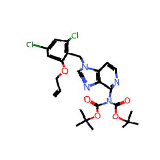 C=CCOc1cc(Cl)cc(Cl)c1Cn1cnc2c(N(C(=O)OC(C)(C)C)C(=O)OC(C)(C)C)nccc21